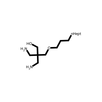 CCCCCCCCCCOCC(CN)(CN)CO